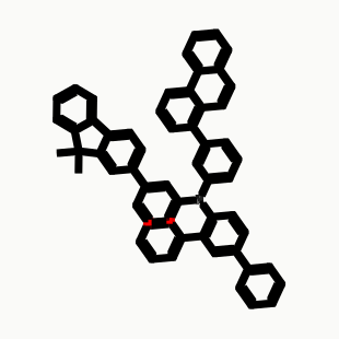 CC1(C)c2ccccc2-c2ccc(-c3cccc(N(c4cccc(-c5cccc6c5ccc5ccccc56)c4)c4ccc(-c5ccccc5)cc4-c4ccccc4)c3)cc21